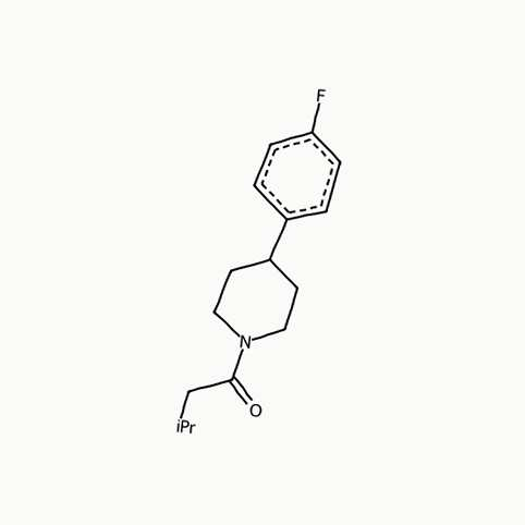 CC(C)CC(=O)N1CCC(c2ccc(F)cc2)CC1